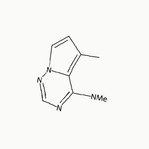 CNc1ncnn2ccc(C)c12